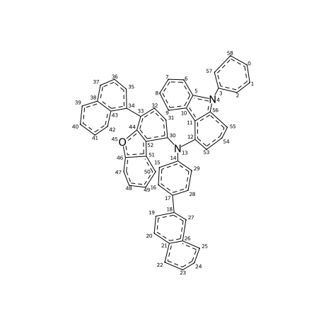 c1ccc(-n2c3ccccc3c3c(N(c4ccc(-c5ccc6ccccc6c5)cc4)c4ccc(-c5cccc6ccccc56)c5oc6ccccc6c45)cccc32)cc1